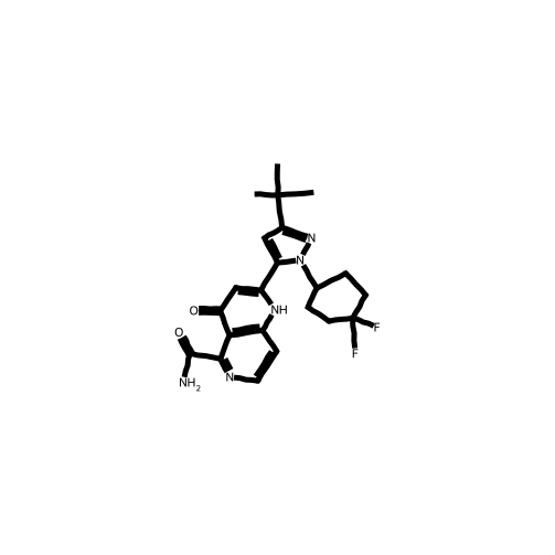 CC(C)(C)c1cc(-c2cc(=O)c3c(C(N)=O)nccc3[nH]2)n(C2CCC(F)(F)CC2)n1